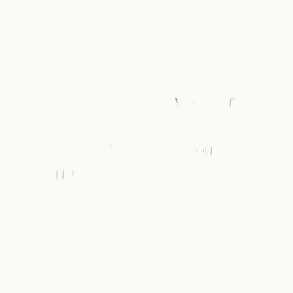 CCc1ccc(Cc2cc3c(cc2Cl)CC[C@@]32CC(O)CC(CF)O2)cc1